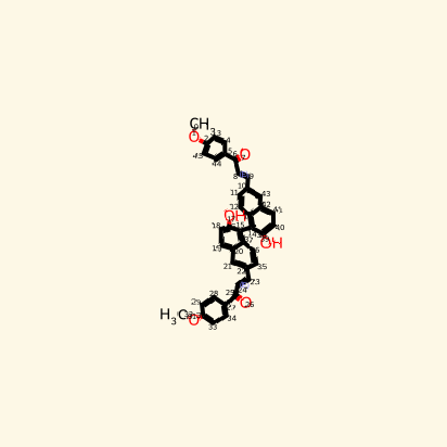 COc1ccc(C(=O)/C=C/c2ccc3c(-c4c(O)ccc5cc(/C=C/C(=O)c6ccc(OC)cc6)ccc45)c(O)ccc3c2)cc1